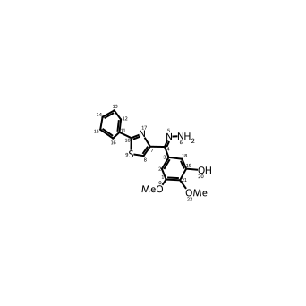 COc1cc(/C(=N\N)c2csc(-c3ccccc3)n2)cc(O)c1OC